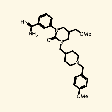 COCC1CN(CC2CCN(Cc3ccc(OC)cc3)CC2)C(=O)N(c2cccc(C(=N)N)c2)C1